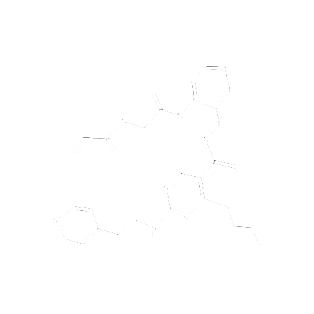 C=CC(=O)NCC(=O)Nc1ccccc1CNC(=O)c1cnc(NCCc2ccncc2)nc1NCCC